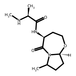 CN[C@@H](C)C(=O)N[C@H]1CCO[C@H]2CCC(C)N2C1=O